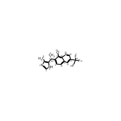 Cc1nc[nH]c1[C@H](C)c1ccc2cc(C(F)(F)F)cnc2c1Cl